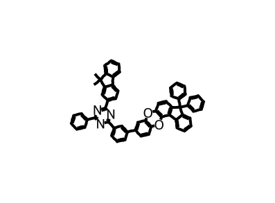 CC1(C)c2ccccc2-c2ccc(-c3nc(-c4ccccc4)nc(-c4cccc(-c5ccc6c(c5)Oc5ccc7c(c5O6)-c5ccccc5C7(c5ccccc5)c5ccccc5)c4)n3)cc21